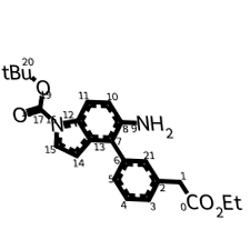 CCOC(=O)Cc1cccc(-c2c(N)ccc3c2ccn3C(=O)OC(C)(C)C)c1